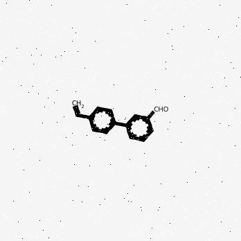 C=Cc1ccc(-c2cccc(C=O)c2)cc1